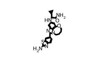 NC(=O)[C@@H](Nc1cc2c3c(c1)nc(-c1ccc4nc(N)sc4c1)n3CCCCO2)C1CC1